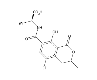 CC1Cc2c(Cl)cc(C(=O)N[C@H](C(=O)O)C(C)C)c(O)c2C(=O)O1